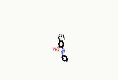 CCc1ccc(/N=N/c2ccccc2)c(O)c1